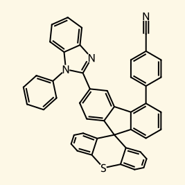 N#Cc1ccc(-c2cccc3c2-c2cc(-c4nc5ccccc5n4-c4ccccc4)ccc2C32c3ccccc3Sc3ccccc32)cc1